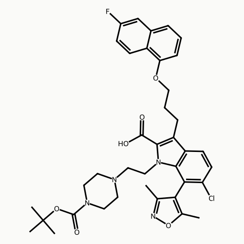 Cc1noc(C)c1-c1c(Cl)ccc2c(CCCOc3cccc4cc(F)ccc34)c(C(=O)O)n(CCN3CCN(C(=O)OC(C)(C)C)CC3)c12